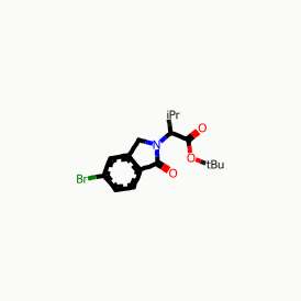 CC(C)C(C(=O)OC(C)(C)C)N1Cc2cc(Br)ccc2C1=O